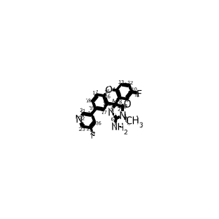 CN1C(=O)C2(N=C1N)c1cc(F)ccc1Oc1ccc(-c3cncc(F)c3)cc12